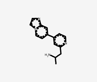 CC(N)Cc1cc(-c2ccn3ccnc3c2)ccn1